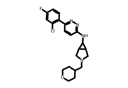 Fc1ccc(-c2ccc(NC3C4CN(CC5CCOCC5)CC43)nn2)c(Cl)c1